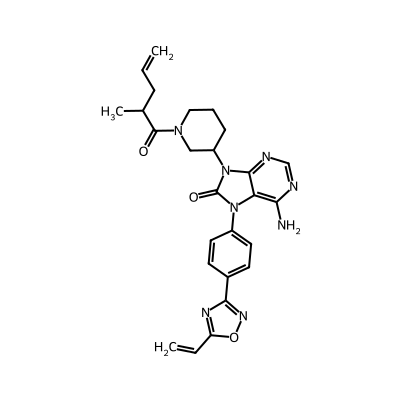 C=CCC(C)C(=O)N1CCCC(n2c(=O)n(-c3ccc(-c4noc(C=C)n4)cc3)c3c(N)ncnc32)C1